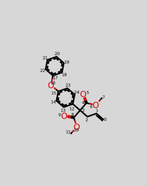 C=CCC(C(=O)OC)(C(=O)OC)c1ccc(Oc2ccccc2)cc1